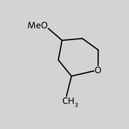 COC1CCOC(C)C1